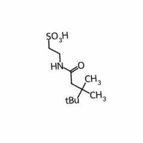 CC(C)(C)C(C)(C)CC(=O)NCCS(=O)(=O)O